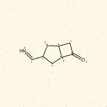 N=CC1CN2C(=O)CC2S1